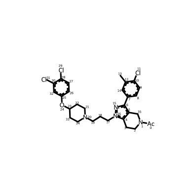 CC(=O)N1CCc2c(c(-c3ccc(Cl)c(C)c3)nn2CCCN2CCC(Oc3ccc(Cl)c(Cl)c3)CC2)C1